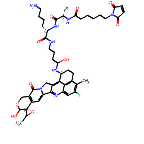 Cc1c(F)cc2nc3c(c4c2c1CC[C@@H]4NC(O)CCCNC(=O)[C@H](CCCCN)NC(=O)[C@@H](NC(=O)CCCCCN1C(=O)C=CC1=O)C(C)C)Cn1c-3cc2c(c1=O)COC(O)[C@@]21OC1C